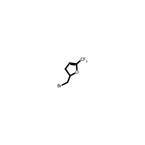 FC(F)(F)C1=CCC(CBr)O1